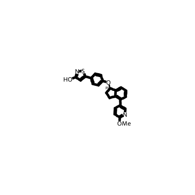 COc1ccc(-c2cccc3c2CC[C@H]3Oc2ccc(-c3cc(O)ns3)cc2)cn1